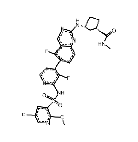 CNC(=O)[C@@H]1CC[C@@H](Nc2ncc3c(F)c(-c4ccnc(NS(=O)(=O)c5cc(Cl)cnc5OC)c4F)ccc3n2)C1